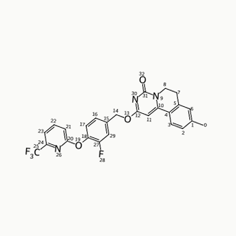 Cc1ccc2c(c1)CCn1c-2cc(OCc2ccc(Oc3cccc(C(F)(F)F)n3)c(F)c2)nc1=O